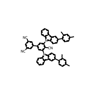 Cc1ccc(-c2ccc3c(c2)c2ccccc2n3-c2cc(-c3cc(C#N)cc(C#N)c3)cc(-n3c4ccccc4c4cc(-c5ccc(C)cc5C)ccc43)c2C#N)c(C)c1